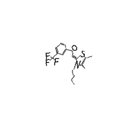 CCCCN1C(C)=C(C)S/C1=C\C(=O)c1cccc(C(F)(F)F)c1